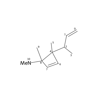 C=CC(C)C1(C)C=CC1(C)NC